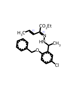 C/C=C/C(=N\NC(C)c1cc(Cl)ccc1OCc1ccccc1)C(=O)OCC